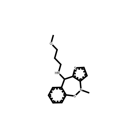 COCCCNC1c2ccccc2SN(C)c2ccsc21